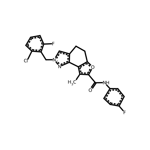 Cc1c(C(=O)Nc2ccc(F)cc2)oc2c1-c1nn(Cc3c(F)cccc3Cl)cc1CC2